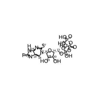 O=P(O)(O)OP(=O)(O)OP(=O)(O)OC[C@H]1O[C@@H](n2cc3nc(F)[nH]c3nc2=S)[C@@H](O)C1O